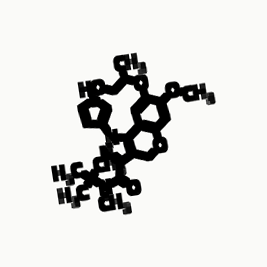 COc1cc2c(cc1OC(C)CO)-c1c(c(C(=O)N(C)C(C)(C)C)nn1-c1ccsc1)CO2